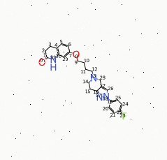 O=C1CCc2ccc(OCCCCN3CCc4nn(-c5ccc(F)cc5)cc4C3)cc2N1